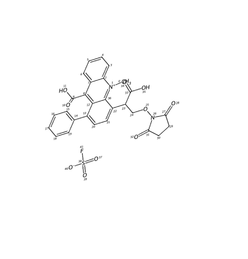 C[n+]1c2ccccc2c(C(=O)O)c2c(-c3ccccc3)ccc(C(CON3C(=O)CCC3=O)C(=O)O)c21.O=S(=O)([O-])F